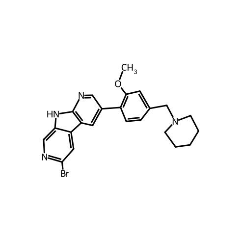 COc1cc(CN2CCCCC2)ccc1-c1cnc2[nH]c3cnc(Br)cc3c2c1